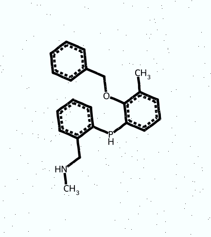 CNCc1ccccc1Pc1cccc(C)c1OCc1ccccc1